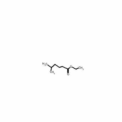 CCOC(=O)CCCC(C)C